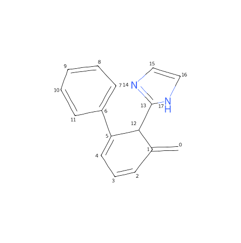 C=C1C=CC=C(c2ccccc2)C1c1ncc[nH]1